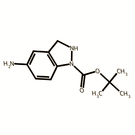 CC(C)(C)OC(=O)N1NCc2cc(N)ccc21